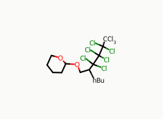 CCCCC(COC1CCCCO1)C(Cl)(Cl)C(Cl)(Cl)C(Cl)(Cl)C(Cl)(Cl)Cl